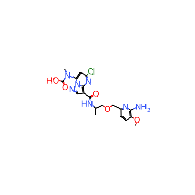 COc1ccc(COCC(C)NC(=O)c2cnn3c(N(C)C(=O)O)cc(Cl)nc23)nc1N